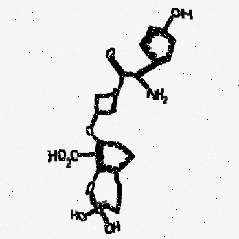 NC(C(=O)N1CC(Oc2ccc3c(c2C(=O)O)O[B-](O)(O)CC3)C1)c1ccc(O)cc1